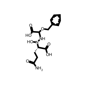 NC(=O)CC[C@@H](C(=O)O)N(O)NC(OCc1ccccc1)C(=O)O